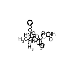 CC(C)C(NC(=O)OCc1ccccc1)C(=O)N[C@@H](Cc1cccs1)C(=O)N[C@H](C=O)C[C@@H]1CCNC1=O